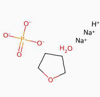 C1CCOC1.O.O=P([O-])([O-])[O-].[H+].[Na+].[Na+]